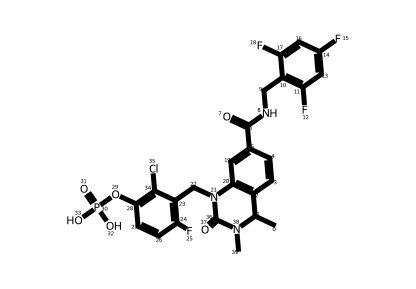 CC1c2ccc(C(=O)NCc3c(F)cc(F)cc3F)cc2N(Cc2c(F)ccc(OP(=O)(O)O)c2Cl)C(=O)N1C